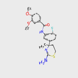 CCOc1ccc(C(=O)Nc2cc(C3(C)CCSC(N)=N3)ccc2F)cc1OCC